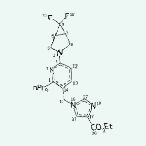 CCCc1nc(N2CC3C(C2)C3(F)F)ccc1Cn1cnc(C(=O)OCC)c1